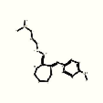 COc1ccc(C=C2CCCCCC2=NOCCCN(C)C)cc1